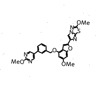 COc1cc(OCc2cccc(-c3cnc(OC)nc3)c2)c2cc(-c3cn4nc(OC)sc4n3)oc2c1